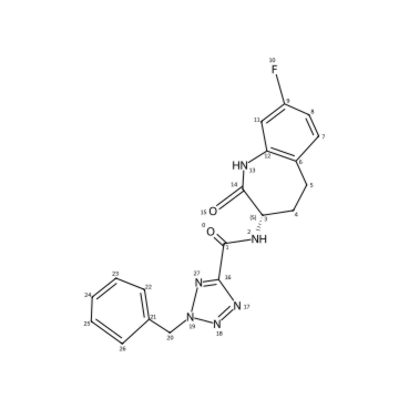 O=C(N[C@H]1CCc2ccc(F)cc2NC1=O)c1nnn(Cc2ccccc2)n1